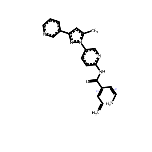 C=C/C=C(\C=C/N)C(=O)Nc1ccc(-n2nc(-c3cccnc3)cc2C(F)(F)F)cn1